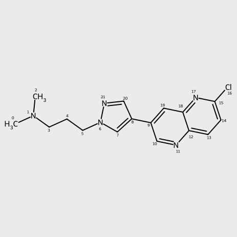 CN(C)CCCn1cc(-c2cnc3ccc(Cl)nc3c2)cn1